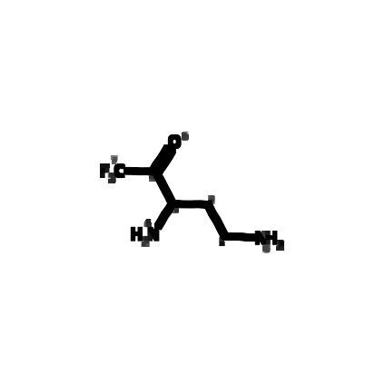 NCCC(N)C(=O)C(F)(F)F